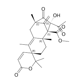 C=C1[C@]2(C)CC3=C(C)[C@]4(C=CC(=O)OC4(C)C)CC[C@@]3(C)[C@@]1(C(=O)OC)[C@](O)(C(C)=O)C2=O